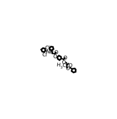 CC1(COC(=O)c2ccc(OC(=O)Cc3ccccc3Nc3c(Cl)cccc3Cl)cc2)COC(c2ccccc2)OC1